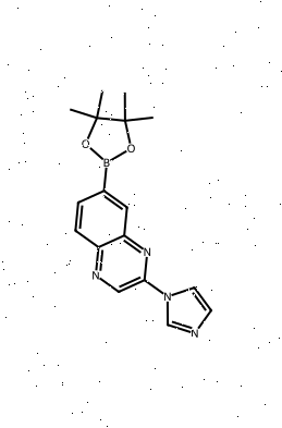 CC1(C)OB(c2ccc3ncc(-n4ccnc4)nc3c2)OC1(C)C